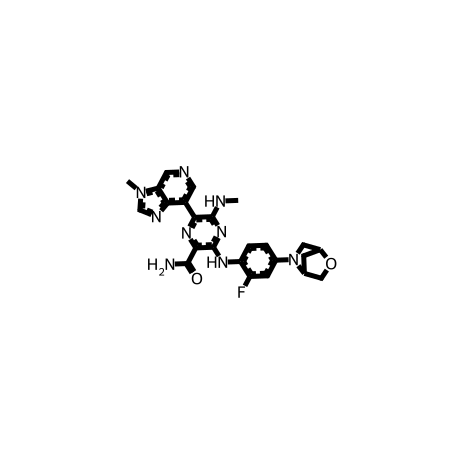 CNc1nc(Nc2ccc(N3CC4CC3CO4)cc2F)c(C(N)=O)nc1-c1cncc2c1ncn2C